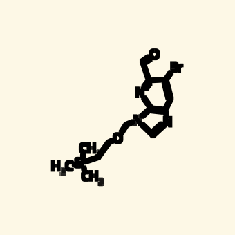 C[Si](C)(C)CCOCn1cnc2cc(Br)c(C=O)nc21